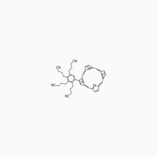 N#CCCCc1cc(C2=CC3=CC4=NC(=CC5=NC(=CC6=NC(=CC2=N3)C=C6)C=C5)C=C4)c(CCCC#N)c(CCCC#N)c1CCCC#N